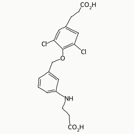 O=C(O)CCNc1cccc(COc2c(Cl)cc(CCC(=O)O)cc2Cl)c1